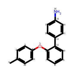 Cc1ccc(Oc2ccccc2-c2ccc(N)cc2)cc1